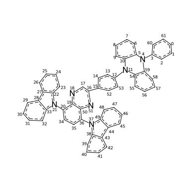 c1ccc(N2c3ccccc3N(c3ccc(-c4cnc5c(-n6c7ccccc7c7ccccc76)ccc(-n6c7ccccc7c7ccccc76)c5n4)cc3)c3ccccc32)cc1